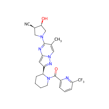 Cc1cn2nc([C@@H]3CCCCN3C(=O)c3cccc(C(F)(F)F)n3)cc2nc1N1C[C@@H](C#N)[C@@H](O)C1